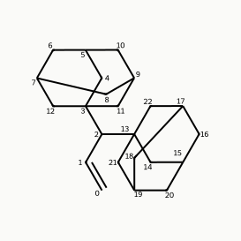 C=CC(C12CC3CC(CC(C3)C1)C2)C12CC3CC(CC(C3)C1)C2